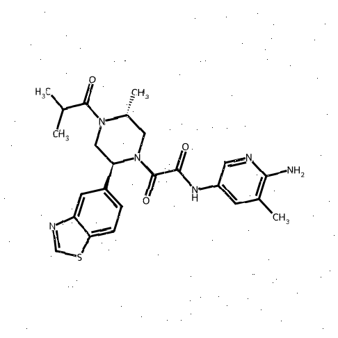 Cc1cc(NC(=O)C(=O)N2C[C@@H](C)N(C(=O)C(C)C)C[C@@H]2c2ccc3scnc3c2)cnc1N